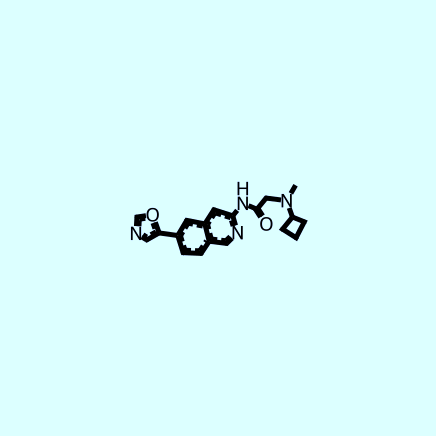 CN(CC(=O)Nc1cc2cc(-c3cnco3)ccc2cn1)C1CCC1